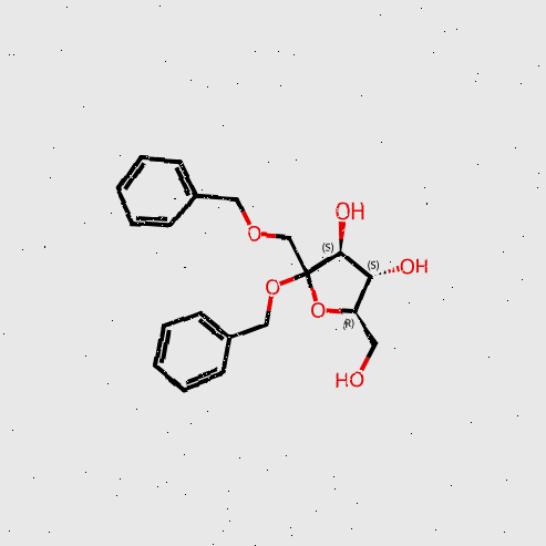 OC[C@H]1OC(COCc2ccccc2)(OCc2ccccc2)[C@@H](O)[C@@H]1O